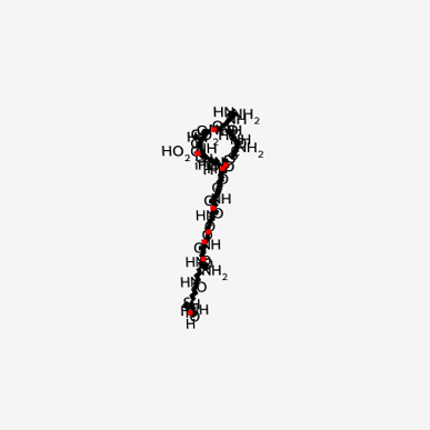 CC(C)[C@H]1NC(=O)[C@@H](CC(=O)O)NC(=O)[C@H](CC(=O)O)NC(=O)CNC(=O)[C@H](CCCNC(=N)N)NC(=O)CNC(=O)[C@H](N)CSSC[C@H](C(=O)NCCOCCOCCNC(=O)CCC(=O)NCCOCCOCCNC(=O)CCC(=O)N[C@@H](CCCCNC(=O)CCCC[C@@H]2SC[C@@H]3NC(=O)N[C@@H]32)C(N)=O)NC1=O